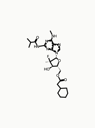 CNc1nc(NC(=O)C(C)C)nc2c1ncn2[C@@H]1O[C@H](COC(=O)CC2CCCCC2)[C@@H](O)[C@@]1(C)F